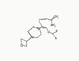 C=C(N)/C=C\C(=C\OC(F)F)N1CCN(C2COC2)CC1